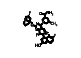 CCc1c(F)ccc2cc(O)cc(-c3ncc4c(N5CC(C)CC(C(N)=O)C5)nc(OC[C@@]56CCCN5C[C@H](F)C6)nc4c3F)c12